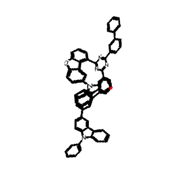 c1ccc(-c2cccc(-c3nc(-c4cccc(-c5ccccc5)c4)nc(-c4cccc5oc6ccc(-n7c8ccccc8c8cc(-c9ccc%10c(c9)c9ccccc9n%10-c9ccccc9)ccc87)cc6c45)n3)c2)cc1